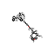 CN[C@@H](C)C(=O)N[C@H](C(=O)N1Cc2cc(OCCCCCCCCC(=O)NCCn3nc4c(c3C#N)-c3cnc(N)c(n3)N3CCC[C@@H]3c3cc(F)ccc3C(=O)N(C)C4)ccc2C[C@H]1C(=O)N[C@@H]1CCCc2ccccc21)C(C)(C)C